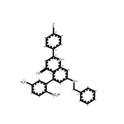 Cc1ccc(S(=O)(=O)O)c(-c2cc(OCc3ccccc3)cc3oc(-c4ccc(F)cc4)cc(=O)c23)c1